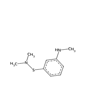 CNc1cccc(SN(C)C)c1